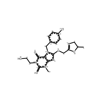 CC1CN=C(COc2nc3c(c(=O)n(CCO)c(=O)n3C)n2Cc2ccc(Cl)cc2)O1